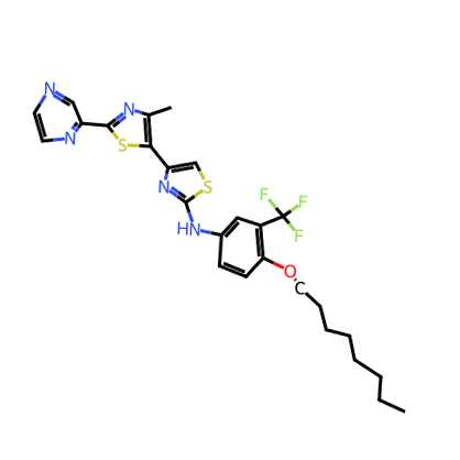 CCCCCCCCOc1ccc(Nc2nc(-c3sc(-c4cnccn4)nc3C)cs2)cc1C(F)(F)F